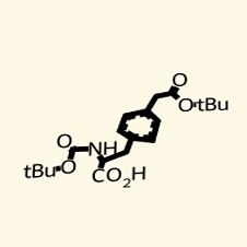 CC(C)(C)OC(=O)Cc1ccc(CC(NC(=O)OC(C)(C)C)C(=O)O)cc1